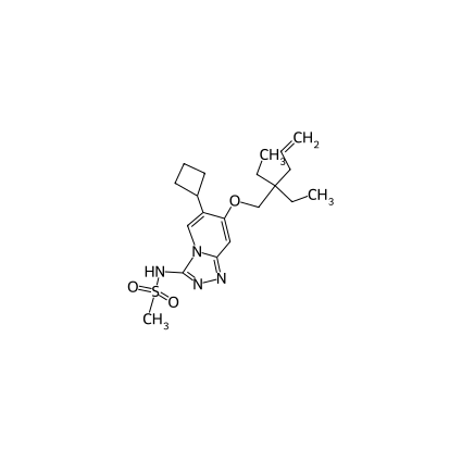 C=CCC(CC)(CC)COc1cc2nnc(NS(C)(=O)=O)n2cc1C1CCC1